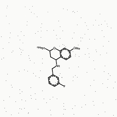 CCCCCCCC1CC(NCc2cccc(F)c2)c2ccc(OC)cc2O1